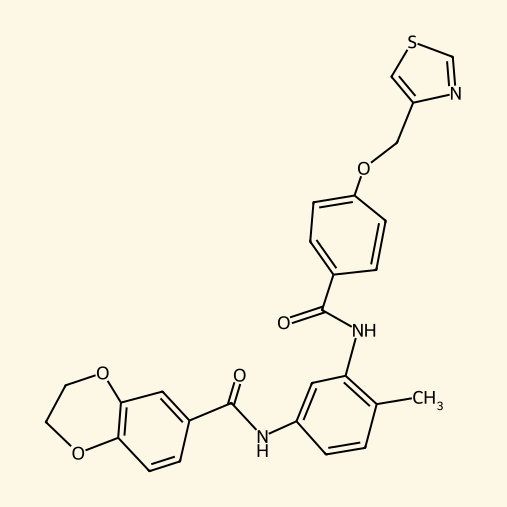 Cc1ccc(NC(=O)c2ccc3c(c2)OCCO3)cc1NC(=O)c1ccc(OCc2cscn2)cc1